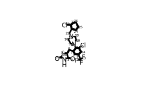 O=C1NC(=O)/C(=C\c2cc(C(F)(F)F)cc(Cl)c2N2CCN(Cc3ccccc3Cl)CC2)S1